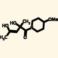 COC1CCN(C(=O)C(C)(O)/C=C(/C)O)CC1